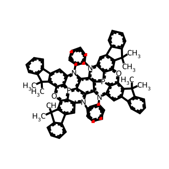 CC1(C)c2ccccc2-c2cc3c4c(oc5c6c(cc7c5p4c4c(c5c8c(c4n7-c4ccccc4)n(-c4ccccc4)c4cc7c(c9oc%10c%11c(cc(c%10p8c94)n5-c4ccccc4)-c4ccccc4C%11(C)C)C(C)(C)c4ccccc4-7)n3-c3ccccc3)-c3ccccc3C6(C)C)c21